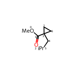 COC(=O)C1(CC(C)C)CC1